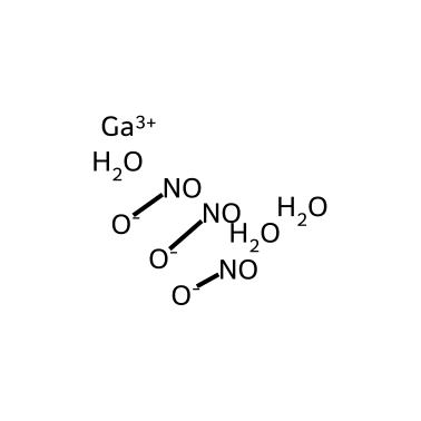 O.O.O.O=N[O-].O=N[O-].O=N[O-].[Ga+3]